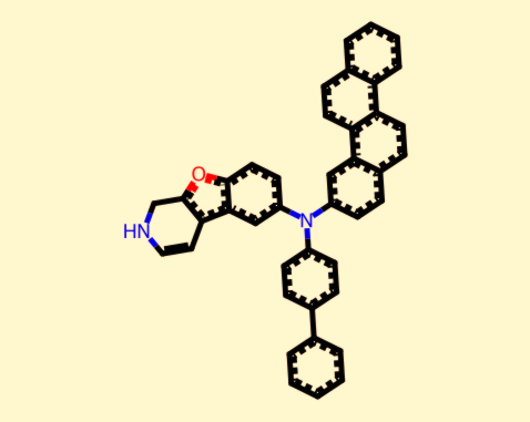 C1=Cc2c(oc3ccc(N(c4ccc(-c5ccccc5)cc4)c4ccc5ccc6c7ccccc7ccc6c5c4)cc23)CN1